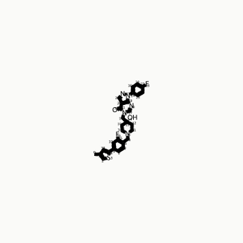 Cc1csc(-c2ccc(CN3CCC(O)(Cn4cnc5c(cnn5-c5ccc(F)cc5)c4=O)CC3)c(F)c2)c1